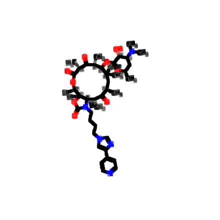 CC[C@H]1OC(=O)[C@H](C)C(=O)[C@H](C)[C@@H](OC2O[C@H](C)C[C@H](N(C)C)[C@H]2O)[C@@](C)(OC)C[C@@H](C)C(=O)[C@H](C)[C@H]2N(CCCCn3cnc(-c4ccncc4)c3)C(=O)O[C@]12CC